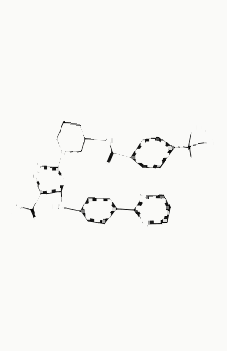 CC(C)(C)c1ccc(C(=O)NC2CCCN(c3nnc(C(N)=O)c(Nc4ccc(-c5ncccn5)cc4)n3)C2)cc1